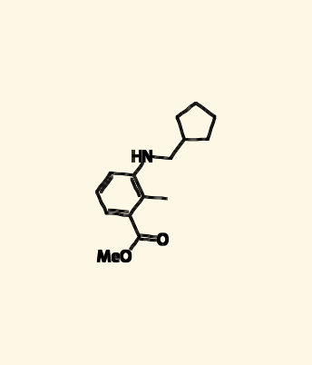 COC(=O)c1cccc(NCC2CCCC2)c1C